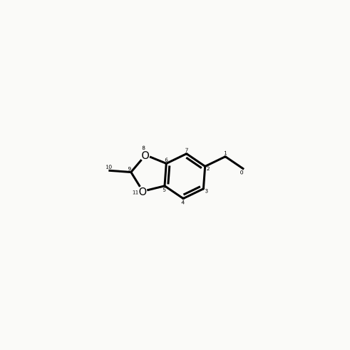 CCc1ccc2c(c1)OC(C)O2